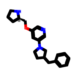 c1ccc(CC2CCN(c3cncc(OC[C@@H]4CCCN4)c3)C2)cc1